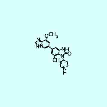 COc1cc(-c2cc(C)c3c(c2)[nH]c(=O)n3C2CCNCC2)cn2ncnc12